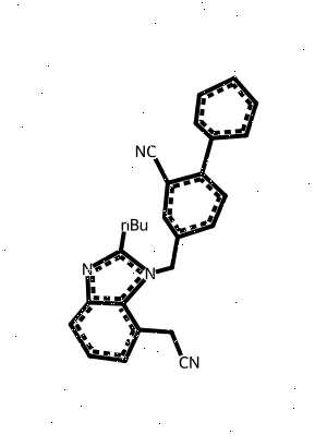 CCCCc1nc2cccc(CC#N)c2n1Cc1ccc(-c2ccccc2)c(C#N)c1